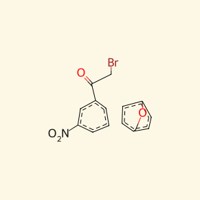 O=C(CBr)c1cccc([N+](=O)[O-])c1.c1cc2ccc1CO2